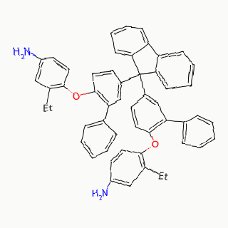 CCc1cc(N)ccc1Oc1ccc(C2(c3ccc(Oc4ccc(N)cc4CC)c(-c4ccccc4)c3)c3ccccc3-c3ccccc32)cc1-c1ccccc1